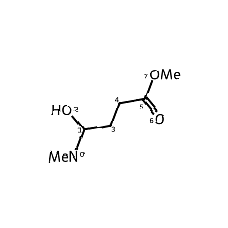 CNC(O)CCC(=O)OC